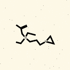 C=C(C)C[Si](CC)(CC)CCCN1CC1